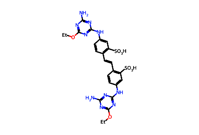 CCOc1nc(N)nc(Nc2ccc(/C=C/c3ccc(Nc4nc(N)nc(OCC)n4)cc3S(=O)(=O)O)c(S(=O)(=O)O)c2)n1